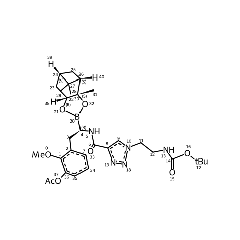 COc1c(C[C@H](NC(=O)c2cn(CCNC(=O)OC(C)(C)C)nn2)B2O[C@@H]3C[C@@H]4C[C@@H](C4(C)C)[C@]3(C)O2)cccc1OC(C)=O